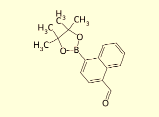 CC1(C)OB(c2ccc(C=O)c3ccccc23)OC1(C)C